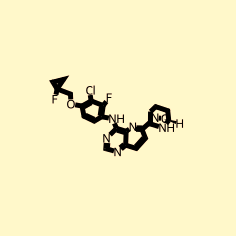 Fc1c(Nc2ncnc3ccc(N4C[C@@H]5CCC4CN5)nc23)ccc(OCC2(F)CC2)c1Cl